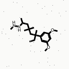 CCC(C)(CC(C)(C)CC(C)NNC)c1cc(OC)cc(OC)c1